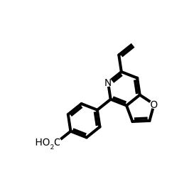 C=Cc1cc2occc2c(-c2ccc(C(=O)O)cc2)n1